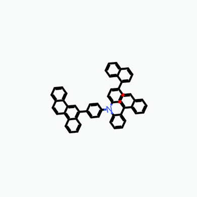 c1ccc(N(c2ccc(-c3cccc4ccccc34)cc2)c2ccc(-c3cc4c5ccccc5ccc4c4ccccc34)cc2)c(-c2cccc3ccccc23)c1